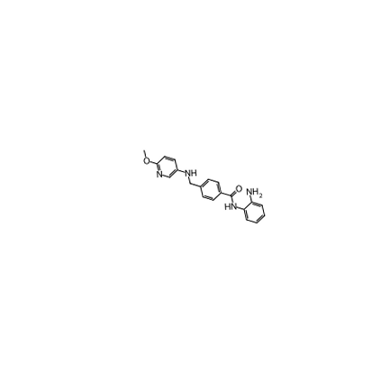 COc1ccc(NCc2ccc(C(=O)Nc3ccccc3N)cc2)cn1